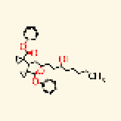 CCCCCC(O)CCCCC(C1(C(=O)Oc2ccccc2)CC1)C1(C(=O)Oc2ccccc2)CC1